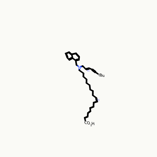 CC(C)(C)C#C/C=C/CN(CCCCCCCCC/C=C\CCCCCCCC(=O)O)Cc1cccc2ccccc12